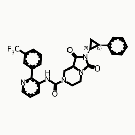 O=C(Nc1cccnc1-c1cccc(C(F)(F)F)c1)N1CCN2C(=O)N([C@@H]3C[C@H]3c3ccccc3)C(=O)C2C1